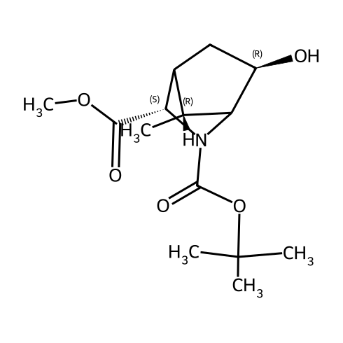 COC(=O)[C@@H]1C2C[C@@H](O)C([C@@H]2C)N1C(=O)OC(C)(C)C